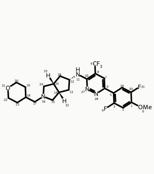 COc1cc(F)c(-c2cc(C(F)(F)F)c(N[C@@H]3C[C@@H]4CN(CC5CCOCC5)C[C@@H]4C3)nn2)cc1F